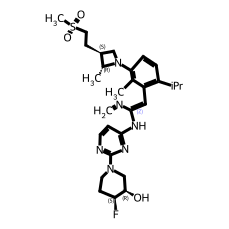 C=N/C(=C\c1c(C(C)C)ccc(N2C[C@H](CCS(C)(=O)=O)[C@H]2C)c1C)Nc1ccnc(N2CC[C@H](F)[C@H](O)C2)n1